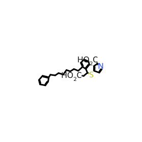 O=C(O)CC(Sc1ccnc(C(=O)O)c1)c1ccccc1CCCCCCCCc1ccccc1